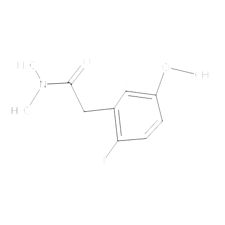 COc1ccc(I)c(CC(=O)N(C)C)c1